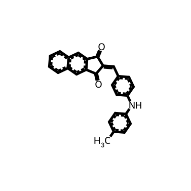 Cc1ccc(Nc2ccc(C=C3C(=O)c4cc5ccccc5cc4C3=O)cc2)cc1